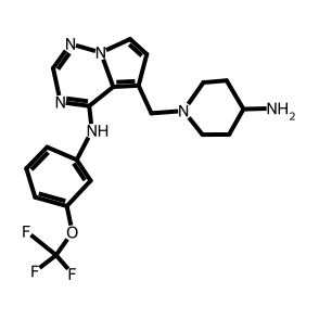 NC1CCN(Cc2ccn3ncnc(Nc4cccc(OC(F)(F)F)c4)c23)CC1